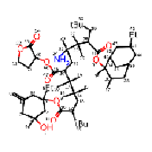 C=C1CC(C)(O)CC(CC)(OC(=O)C(CC(C)(C)C(C)(C)C(CC(C)(N)C(C)(C)C(CC(C)(C)C)C(=O)OC2(C)C(C)CC3CC(CC)CC2C3)C(=O)OC2CCOC2=O)C(C)(C)C)C1